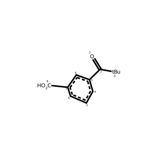 CC(C)(C)C(=O)c1cccc(C(=O)O)c1